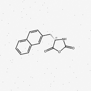 O=C1N[C@@H](Cc2ccc3ccccc3c2)C(=O)O1